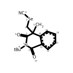 CC1(C[Se]C#N)C(=O)N(C(C)(C)C)C(=O)c2ccccc21